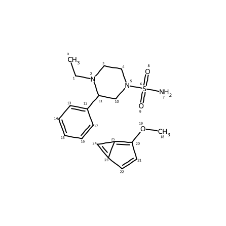 CCN1CCN(S(N)(=O)=O)CC1c1ccccc1.COc1ccc2cc1-2